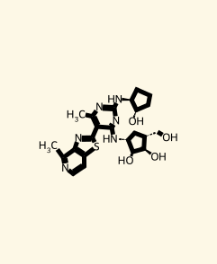 Cc1nc(N[C@H]2CCC[C@@H]2O)nc(N[C@@H]2C[C@H](CO)[C@@H](O)[C@H]2O)c1-c1nc2c(C)nccc2s1